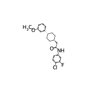 COc1cccc([C@H]2CC[C@H](CC(=O)Nc3ccc(Cl)c(F)c3)CC2)c1